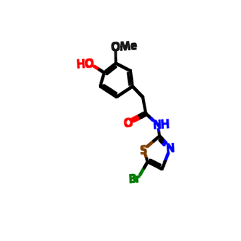 COc1cc(CC(=O)Nc2ncc(Br)s2)ccc1O